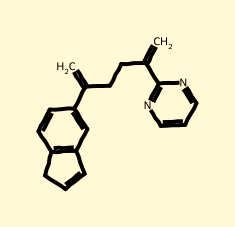 C=C(CCC(=C)c1ncccn1)c1ccc2c(c1)C=CC2